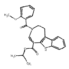 COc1ccccc1C(=O)N1C=C(C(=O)OC(C)C)c2[nH]c3ccccc3c2CC1